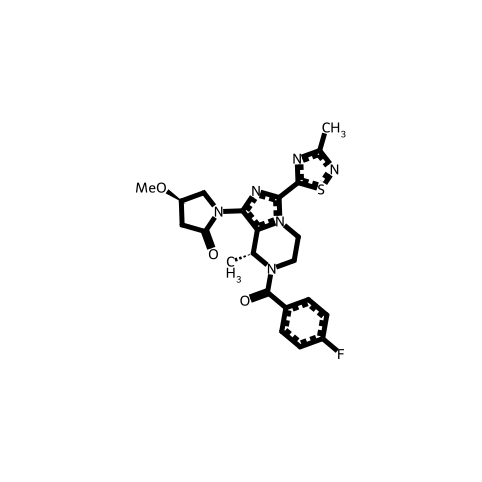 CO[C@@H]1CC(=O)N(c2nc(-c3nc(C)ns3)n3c2[C@@H](C)N(C(=O)c2ccc(F)cc2)CC3)C1